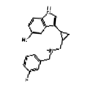 N#Cc1ccc2[nH]cc(C3CC3CNCc3cccc(F)c3)c2c1